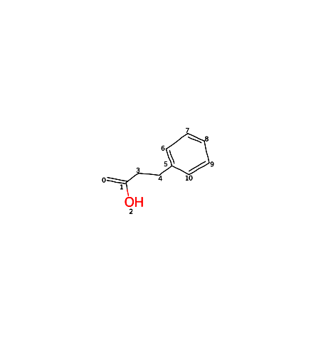 C=C(O)CCc1ccccc1